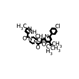 Cc1cc(C(=O)N2CCN(C(=O)c3cc4nc(-c5ccc(Cl)cc5)cc(C(C)(C)C)c4o3)C(C)(C)C2)[nH]n1